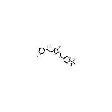 C[C@@H]1CN(C[C@H](O)c2cccc(C#N)c2)C[C@H]1COc1ccc(S(C)(=O)=O)nc1